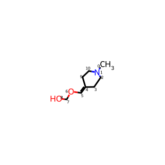 CN1CCC(=COCO)CC1